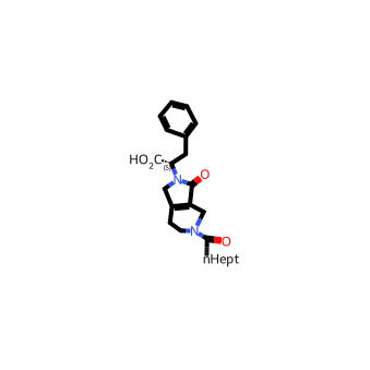 CCCCCCCC(=O)N1CCC2=C(C1)C(=O)N([C@@H](Cc1ccccc1)C(=O)O)C2